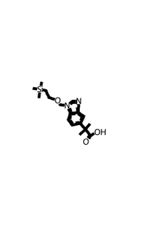 CC(C)(C(=O)O)c1ccc2c(c1)ncn2COCC[Si](C)(C)C